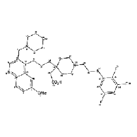 COc1ccc2ncc(CN3CCOCC3)c(CCCC3(CC(=O)O)CCN(CCSc4cc(F)cc(F)c4F)CC3)c2c1